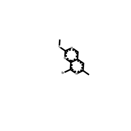 CSc1ncc2cc(C)nc(Br)c2n1